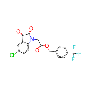 O=C(CN1C(=O)C(=O)c2cc(Cl)ccc21)OCc1ccc(C(F)(F)F)cc1